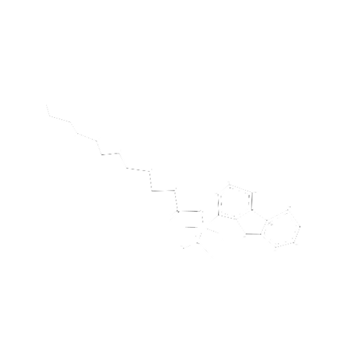 CCCCCCCCCCCC(=O)[NH][Hf]([Cl])([Cl])([c]1cccc2c1Cc1ccccc1-2)[SiH](C)C